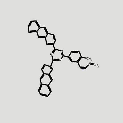 C=N/C=C\c1cc(-c2nc(-c3ccc4cc5ccccc5cc4c3)nc(-c3ccc4cc5ccccc5cc4c3)n2)ccc1C